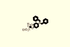 CCOC(=O)C(C)(C)O[C@H]1CC[C@H](N(Cc2ccccc2)Cc2ccccc2)CC1